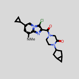 CNc1cc(C2CC2)cn2c(Cl)c(C(=O)N3CCN(C4CC5CC5C4)C(=O)C3)nc12